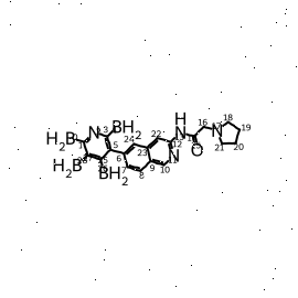 Bc1nc(B)c(-c2ccc3cnc(NC(=O)CN4CCCC4)cc3c2)c(B)c1B